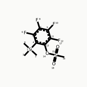 C[Si](C)(C)c1c(F)c(F)c(F)c(F)c1OS(C)(=O)=O